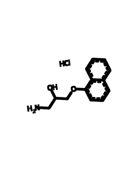 Cl.NCC(O)COc1cccc2ccccc12